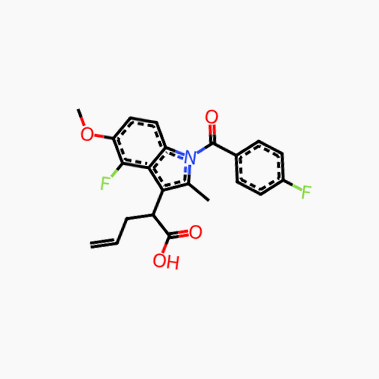 C=CCC(C(=O)O)c1c(C)n(C(=O)c2ccc(F)cc2)c2ccc(OC)c(F)c12